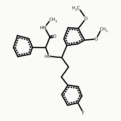 CNC(=O)C(NC(CCc1ccc(F)cc1)c1ccc(OC)c(OC)c1)c1ccccc1